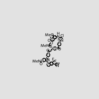 CNC(=O)COc1cc2cc(Nc3nc(N4CCC(C(=O)N5CCN(CCC(=O)N6CCC(n7nc(N8CCCc9cc(-c%10cnn(C)c%10)c(C(F)F)cc98)c8c7CCN(C(=O)NC)C8)CC6)CC5)CC4)ncc3Cl)cc(OC)c2n(C)c1=O